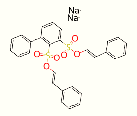 O=S(=O)(OC=Cc1ccccc1)c1cccc(-c2ccccc2)c1S(=O)(=O)OC=Cc1ccccc1.[Na].[Na]